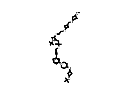 COC1CC(OCC2CC(OCCOC3CN(C(C)(C)C)C3CC(C)(C)OCC#Cc3cccc(N4CCC(OC5CC(OC(C)(C)C)C5)CC4)c3)C2)C1